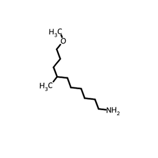 COCCCC(C)CCCCCCN